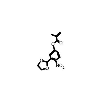 C=C(C)C(=O)Oc1ccc([N+](=O)[O-])c(C2OCCO2)c1